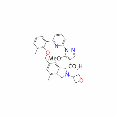 COc1c(C(=O)O)cnn1-c1cccc(-c2cccc(C)c2OCc2cc(C)c3c(c2)CN(C2COC2)C3)n1